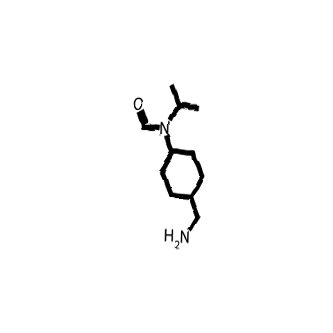 CC(C)N(C=O)C1CCC(CN)CC1